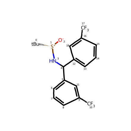 CC(C)(C)[S@+]([O-])NC(c1cccc(C(F)(F)F)c1)c1cccc(C(F)(F)F)c1